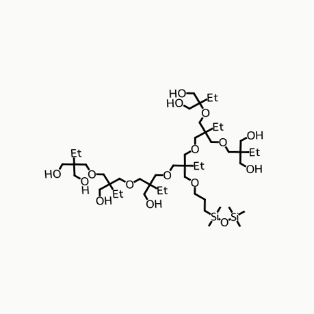 CCC(CO)(CO)COCC(CC)(CO)COCC(CC)(CO)COCC(CC)(COCCC[Si](C)(C)O[Si](C)(C)C)COCC(CC)(COCC(CC)(CO)CO)COC(CC)(CO)CO